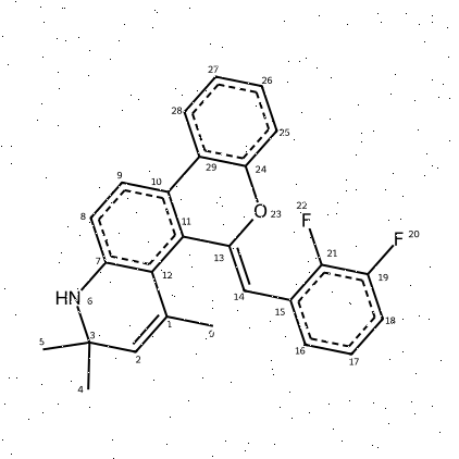 CC1=CC(C)(C)Nc2ccc3c(c21)/C(=C/c1cccc(F)c1F)Oc1ccccc1-3